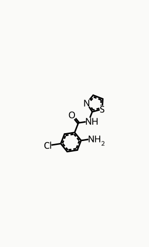 Nc1ccc(Cl)cc1C(=O)Nc1nccs1